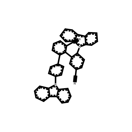 N#Cc1ccc(-n2c3ccccc3c3ccccc32)c(-c2c(C#N)cccc2-c2ccc(-n3c4ccccc4c4ccccc43)cc2)c1